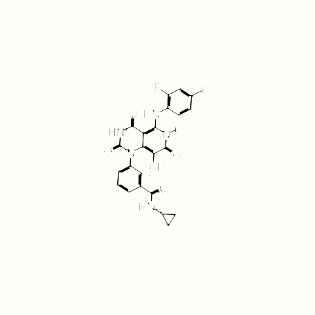 Cc1c(=O)n(C)c(Nc2ccc(I)cc2F)c2c(=O)[nH]c(=O)n(-c3cccc(C(=O)NC4CC4)c3)c12